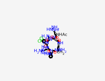 C=C(N)C1CCCNC(=O)CC[C@H](NC(=O)[C@H](CCCNC(=N)N)NC(C)=O)C(=O)N[C@@H](CCN)C(=O)N[C@H](Cc2ccc(Cl)c(Cl)c2)C(=O)N[C@@H](CCCNC(=N)N)C(=O)N[C@@H](Cc2c[nH]c3ccccc23)C(=O)N1